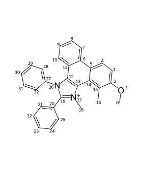 COc1ccc2c3ccccc3c3c(c2c1C)[n+](C)c(-c1ccccc1)n3-c1ccccc1